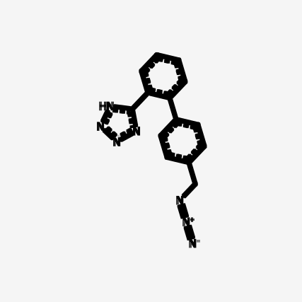 [N-]=[N+]=NCc1ccc(-c2ccccc2-c2nnn[nH]2)cc1